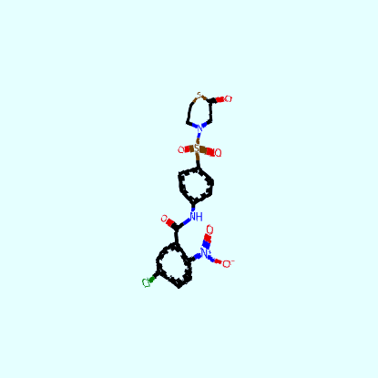 O=C1CN(S(=O)(=O)c2ccc(NC(=O)c3cc(Cl)ccc3[N+](=O)[O-])cc2)CCS1